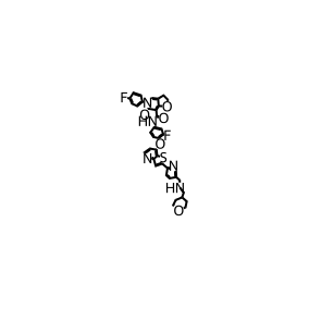 O=C(Nc1ccc(Oc2ccnc3cc(-c4ccc(CNCC5CCOCC5)cn4)sc23)c(F)c1)c1c2c(cn(-c3ccc(F)cc3)c1=O)CCO2